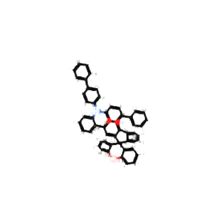 c1ccc(-c2ccc(N(c3ccc(-c4ccccc4)cc3)c3ccccc3-c3ccc4c(c3)C3(c5ccccc5Oc5ccccc53)c3ccccc3-4)cc2)cc1